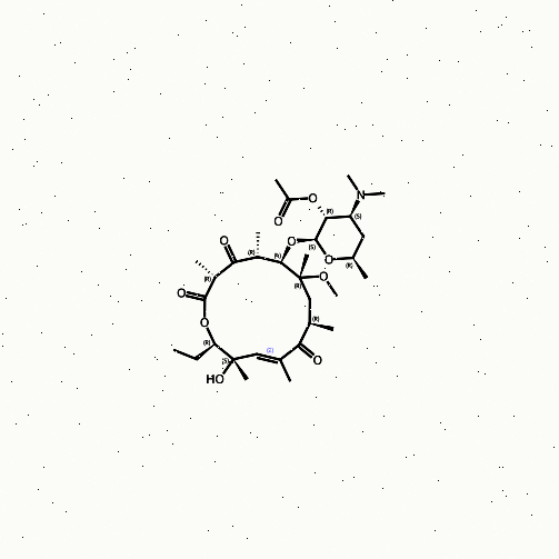 CC[C@H]1OC(=O)[C@H](C)C(=O)[C@H](C)[C@@H](O[C@@H]2O[C@H](C)C[C@H](N(C)C)[C@H]2OC(C)=O)[C@](C)(OC)C[C@@H](C)C(=O)/C(C)=C/[C@]1(C)O